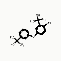 Oc1ccc(Oc2cccc(C(O)(C(F)(F)F)C(F)(F)F)c2)cc1C(O)(C(F)(F)F)C(F)(F)F